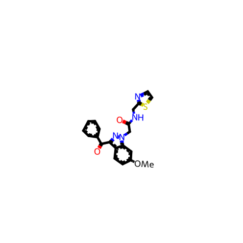 COc1ccc2c(C(=O)c3ccccc3)nn(CC(=O)NCc3nccs3)c2c1